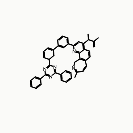 C=C(C)C(C)c1cc(-c2cccc(C3=CC=CC(c4nc(-c5ccccc5)nc(-c5ccccc5)n4)C3)c2)nc2c3c(ccc12)C=CC(C)=NC3